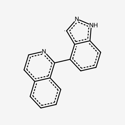 [c]1n[nH]c2cccc(-c3nccc4ccccc34)c12